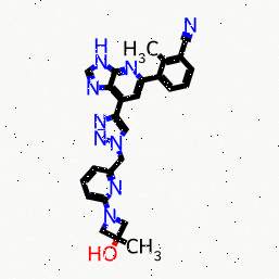 Cc1c(C#N)cccc1-c1cc(-c2cn(Cc3cccc(N4CC(C)(O)C4)n3)nn2)c2nc[nH]c2n1